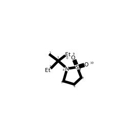 CCC(C)(CC)N1CCCS1(=O)=O